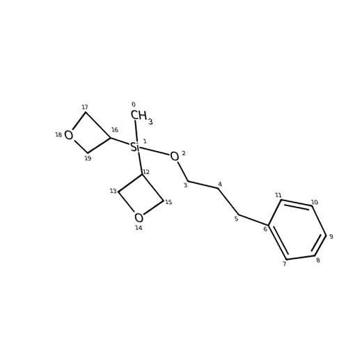 C[Si](OCCCc1ccccc1)(C1COC1)C1COC1